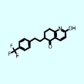 O=C1c2ccc(O)nc2CCC1CCc1ccc(C(F)(F)F)cc1